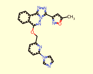 Cc1cc(-c2nnc3c4ccccc4c(OCc4cccc(-n5ccnc5)n4)nn23)no1